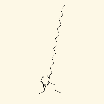 CCCCCCCCCCCCCCCn1cc[n+](CC)c1CCCC